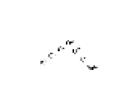 [K+].[K+].[O-2].[O-2].[O-2].[O-2].[Ru+6]